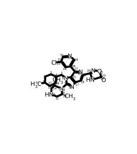 CC1CCC(Cn2c(N3[C@H](C)CNC[C@H]3C)nc3cc(-c4noc(=O)[nH]4)nc(-c4cncc(Cl)c4)c32)CC1